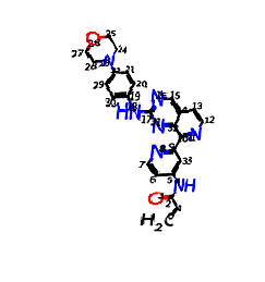 C=CC(=O)Nc1ccnc(-c2nccc3cnc(Nc4ccc(N5CCOCC5)cc4)nc23)c1